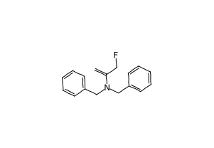 C=C(CF)N(Cc1ccccc1)Cc1ccccc1